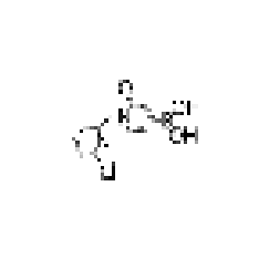 O=c1cc(B(O)O)ccn1Cc1cccc(Cl)n1